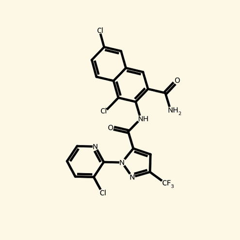 NC(=O)c1cc2cc(Cl)ccc2c(Cl)c1NC(=O)c1cc(C(F)(F)F)nn1-c1ncccc1Cl